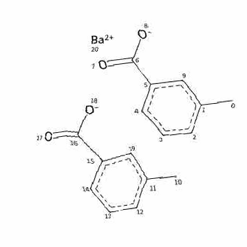 Cc1cccc(C(=O)[O-])c1.Cc1cccc(C(=O)[O-])c1.[Ba+2]